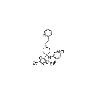 CCC(=O)N(c1ccccc1F)C1(c2nnc(CC)o2)CCN(CCc2ccccn2)CC1.Cl